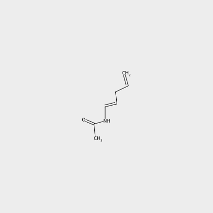 C=CCC=CNC(C)=O